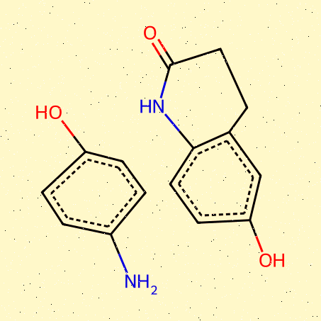 Nc1ccc(O)cc1.O=C1CCc2cc(O)ccc2N1